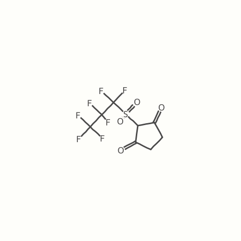 O=C1CCC(=O)C1S(=O)(=O)C(F)(F)C(F)(F)C(F)(F)F